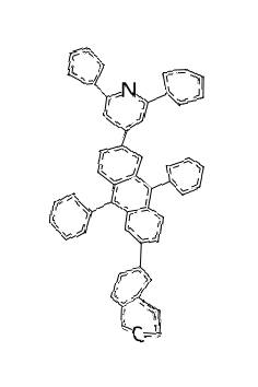 c1ccc(-c2cc(-c3ccc4c(-c5ccccc5)c5cc(-c6ccc7ccccc7c6)ccc5c(-c5ccccc5)c4c3)cc(-c3ccccc3)n2)cc1